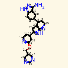 Nc1n[nH]c2ccc(-c3ccnc4[nH]c(-c5ccnc(OCc6cncnc6)c5)cc34)cc12